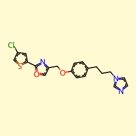 Clc1csc(-c2nc(COc3ccc(CCCn4ccnc4)cc3)co2)c1